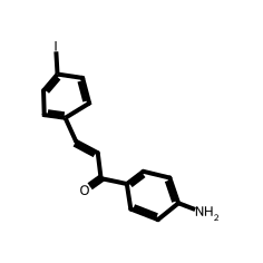 Nc1ccc(C(=O)C=Cc2ccc(I)cc2)cc1